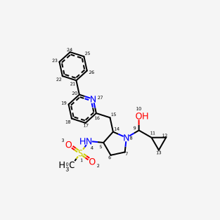 CS(=O)(=O)NC1CCN(C(O)C2CC2)C1Cc1cccc(-c2ccccc2)n1